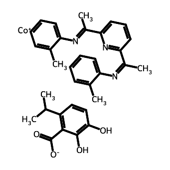 CC(=Nc1ccccc1C)c1cccc(C(C)=Nc2ccccc2C)n1.CC(C)c1ccc(O)c(O)c1C(=O)[O-].[Co+]